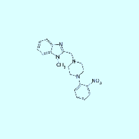 Cn1c(CN2CCN(c3ccccc3[N+](=O)[O-])CC2)nc2ccccc21